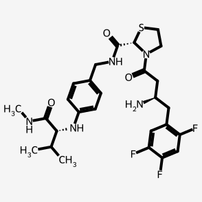 CNC(=O)[C@H](Nc1ccc(CNC(=O)[C@@H]2SCCN2C(=O)C[C@H](N)Cc2cc(F)c(F)cc2F)cc1)C(C)C